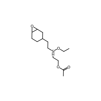 CCO[SiH](CCOC(C)=O)CCC1CCC2OC2C1